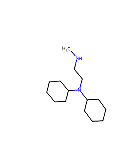 CNCCN(C1CCCCC1)C1CCCCC1